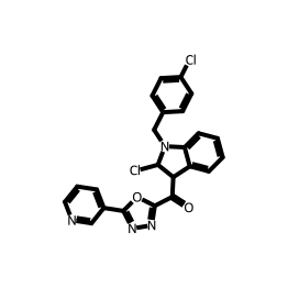 O=C(c1nnc(-c2cccnc2)o1)C1c2ccccc2N(Cc2ccc(Cl)cc2)C1Cl